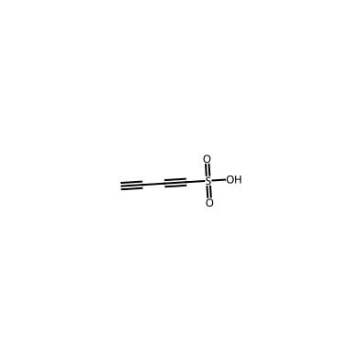 C#CC#CS(=O)(=O)O